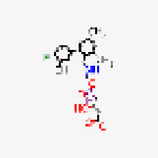 Cc1cc(C)c(CNCO[PH](=O)CC(O)CC(=O)O)c(-c2ccc(F)c(C)c2)c1